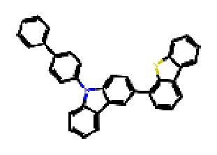 c1ccc(-c2ccc(-n3c4ccccc4c4cc(-c5cccc6c5sc5ccccc56)ccc43)cc2)cc1